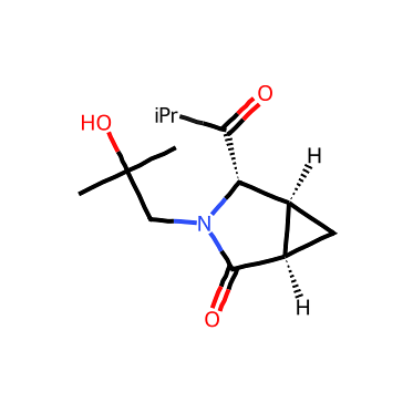 CC(C)C(=O)[C@@H]1[C@H]2C[C@H]2C(=O)N1CC(C)(C)O